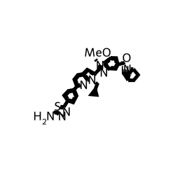 COc1cc(C(=O)N2CC3CCC2[C@@H]3C)cc2nc(-c3cc4ccc(-c5ccc(-c6nnc(N)s6)cc5)nc4n3CC3CC3)n(C)c12